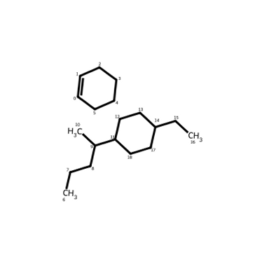 C1=CCCCC1.CCCC(C)C1CCC(CC)CC1